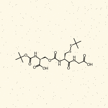 CC(C)(C)OC(=O)N[C@@H](COC(=O)N[C@@H](CSSC(C)(C)C)C(=O)NCC(=O)O)C(=O)O